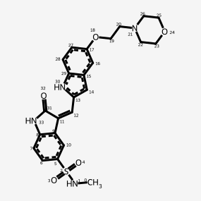 CNS(=O)(=O)c1ccc2c(c1)C(=Cc1cc3cc(OCCN4CCOCC4)ccc3[nH]1)C(=O)N2